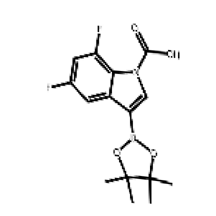 CC1(C)OB(c2cn(C(=O)O)c3c(F)cc(F)cc23)OC1(C)C